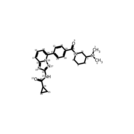 CN(C)C1CCCN(C(=O)c2ccc(-c3cccc4nc(NC(=O)C5CC5)nn34)cc2)C1